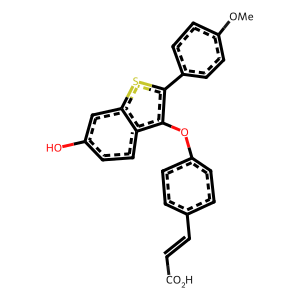 COc1ccc(-c2sc3cc(O)ccc3c2Oc2ccc(C=CC(=O)O)cc2)cc1